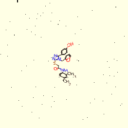 Cc1ccc(NC(=O)CSc2nnc(-c3ccc(O)cc3)n2Cc2ccco2)c(C)c1